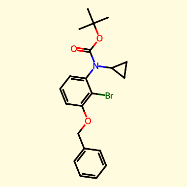 CC(C)(C)OC(=O)N(c1cccc(OCc2ccccc2)c1Br)C1CC1